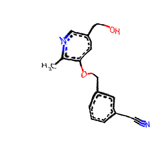 Cc1ncc(CO)cc1OCc1cccc(C#N)c1